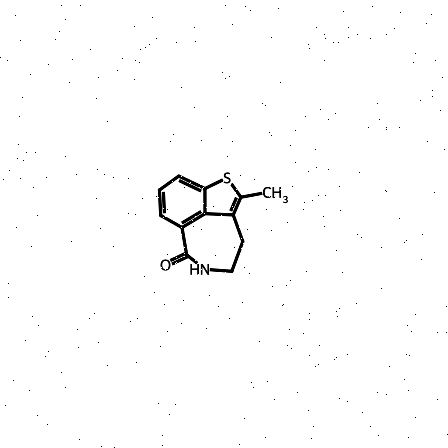 Cc1sc2cccc3c2c1CCNC3=O